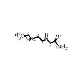 CCNCCNCC(N)=O